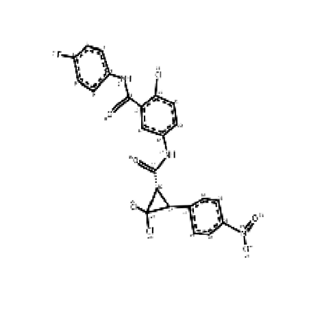 O=C(Nc1ccc(F)cc1)c1cc(NC(=O)[C@@H]2[C@@H](c3ccc([N+](=O)[O-])cc3)C2(Cl)Cl)ccc1Cl